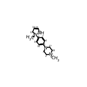 CN1CCN(c2ccc([N+]3(C)CC=CN3)cc2)CC1